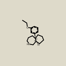 CCOc1cccc([C@@]23CCCC[C@H]2CNCCC3)c1